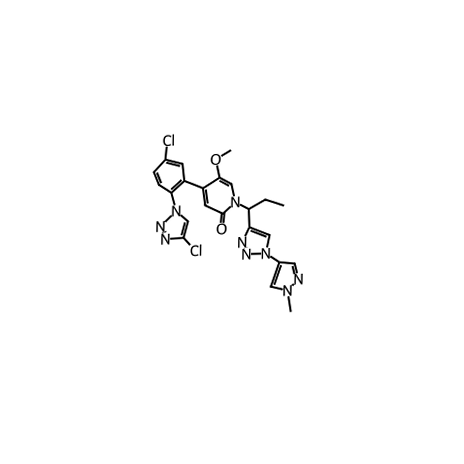 CCC(c1cn(-c2cnn(C)c2)nn1)n1cc(OC)c(-c2cc(Cl)ccc2-n2cc(Cl)nn2)cc1=O